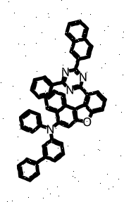 c1ccc(-c2cccc(N(c3ccccc3)c3cc4oc5cccc(-c6nc(-c7ccccc7)nc(-c7ccc8ccccc8c7)n6)c5c4c4ccccc34)c2)cc1